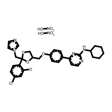 Clc1ccc(C2(Cn3ccnc3)OCC(COc3ccc(-c4ccnc(NC5CCCCC5)n4)cc3)O2)c(Cl)c1.O=[N+]([O-])O.O=[N+]([O-])O